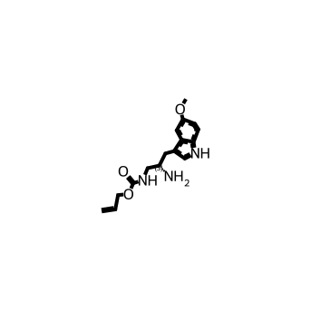 C=CCOC(=O)NC[C@@H](N)Cc1c[nH]c2ccc(OC)cc12